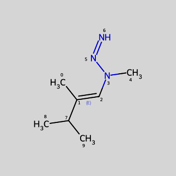 C/C(=C\N(C)N=N)C(C)C